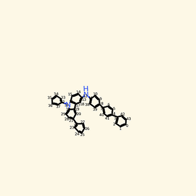 c1ccc(-c2ccc(-c3ccc(Nc4ccc5c(c4)c4cc(-c6ccccc6)ccc4n5-c4ccccc4)cc3)cc2)cc1